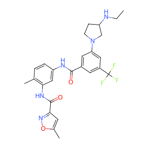 CCNC1CCN(c2cc(C(=O)Nc3ccc(C)c(NC(=O)c4cc(C)on4)c3)cc(C(F)(F)F)c2)C1